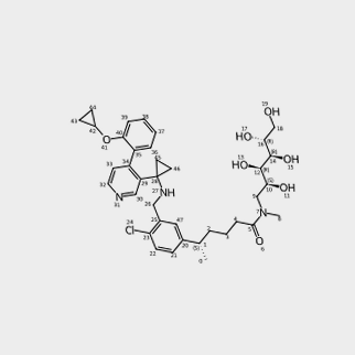 C[C@@H](CCCC(=O)N(C)C[C@H](O)[C@@H](O)[C@H](O)[C@H](O)CO)c1ccc(Cl)c(CNC2(c3cnccc3-c3ccccc3OC3CC3)CC2)c1